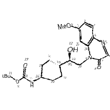 COc1ccc2ncc(=O)n(C[C@H](O)[C@H]3CC[C@H](NC(=O)OC(C)(C)C)CC3)c2c1